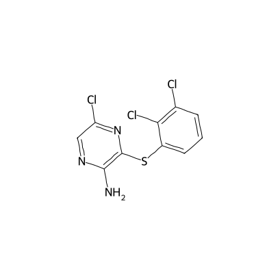 Nc1ncc(Cl)nc1Sc1cccc(Cl)c1Cl